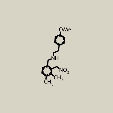 COc1ccc(CCNCc2ccc(C)c(C)c2C[N+](=O)[O-])cc1